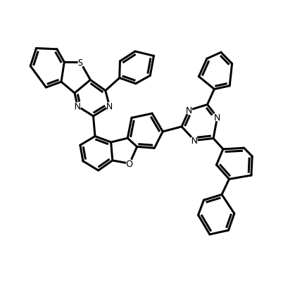 c1ccc(-c2cccc(-c3nc(-c4ccccc4)nc(-c4ccc5c(c4)oc4cccc(-c6nc(-c7ccccc7)c7sc8ccccc8c7n6)c45)n3)c2)cc1